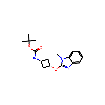 Cn1c(O[C@H]2C[C@H](NC(=O)OC(C)(C)C)C2)nc2ccccc21